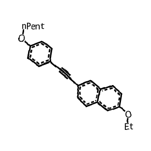 CCCCCOc1ccc(C#Cc2ccc3cc(OCC)ccc3c2)cc1